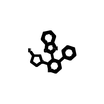 FC1CCN(c2nccc(-c3ccccc3)c2-c2nc3ccccc3o2)C1